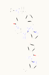 COc1ccc(Cn2nc(N[C@@H]3CCN(C(=O)/C=C/CN(C)C4CC4)C3)c3c(Oc4ccc(C(=O)Nc5cc(C#N)ccn5)cc4)ccnc32)cc1